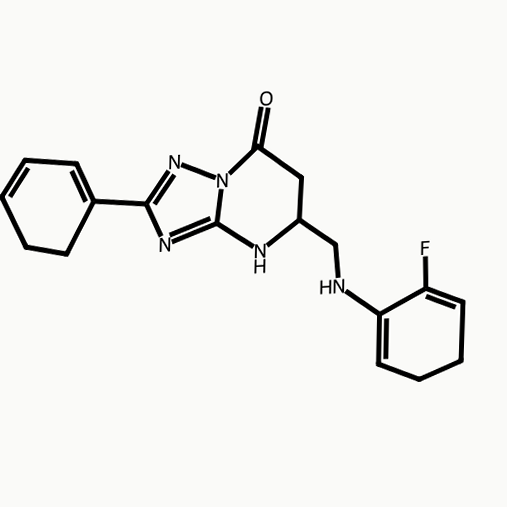 O=C1CC(CNC2=CCCC=C2F)Nc2nc(C3=CC=CCC3)nn21